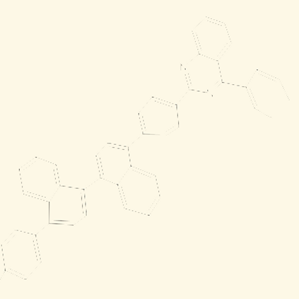 N#Cc1ccc(-c2ccc(-c3ccc(-c4ccc(-c5nc(-c6ccccc6)c6ccccc6n5)cc4)c4ccccc34)c3ccccc23)cc1